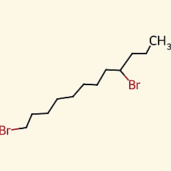 CCCC(Br)CCCCCCCCBr